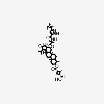 CC(C)C1=C2[C@H]3CCC4[C@@](C)(CCC5[C@@H](C)[C@@H](OC(=O)[C@H]6C[C@@H](C(=O)O)[C@H]6C)CC[C@@]54C)C3CC[C@@]2(NC(=O)C(C)(C)NC(=O)c2cc(C(F)(F)F)n[nH]2)CC1=O